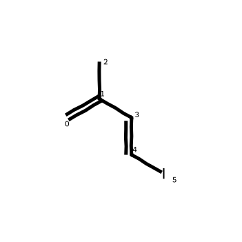 C=C(C)/C=C/I